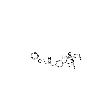 C[C@@H](NS(C)(=O)=O)c1ccc(CNCCOc2ccccc2)cc1